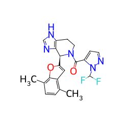 Cc1ccc(C)c2oc([C@H]3c4nc[nH]c4CCN3C(=O)c3ccnn3C(F)F)cc12